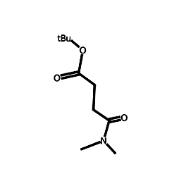 CN(C)C(=O)CCC(=O)OC(C)(C)C